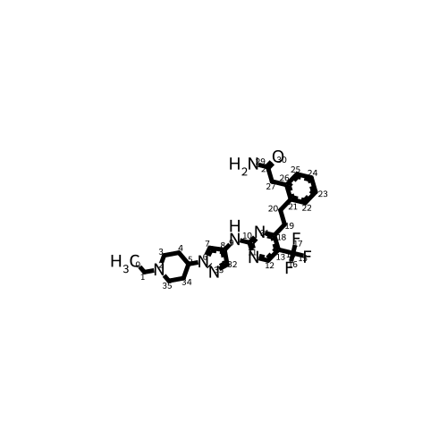 CCN1CCC(n2cc(Nc3ncc(C(F)(F)F)c(CCc4ccccc4CC(N)=O)n3)cn2)CC1